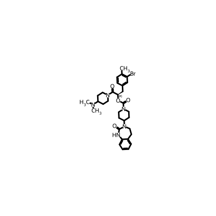 Cc1ccc(C[C@@H](OC(=O)N2CCC(N3CCc4ccccc4NC3=O)CC2)C(=O)N2CCC(N(C)C)CC2)cc1Br